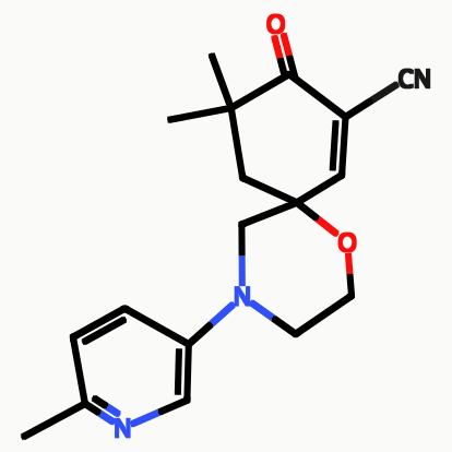 Cc1ccc(N2CCOC3(C=C(C#N)C(=O)C(C)(C)C3)C2)cn1